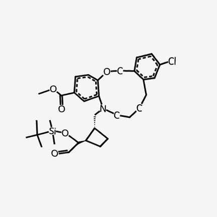 COC(=O)c1ccc2c(c1)N(C[C@@H]1CC[C@H]1C(C=O)O[Si](C)(C)C(C)(C)C)CCCCc1cc(Cl)ccc1CO2